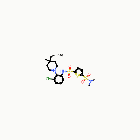 COCC1(C)CCN(c2c(Cl)cccc2NS(=O)(=O)c2ccc(S(=O)(=O)N(C)C)s2)CC1